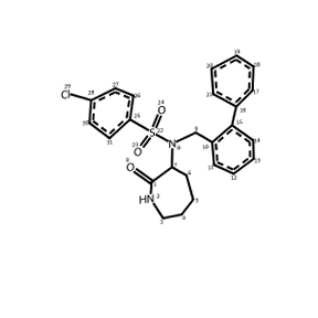 O=C1NCCCCC1N(Cc1ccccc1-c1ccccc1)S(=O)(=O)c1ccc(Cl)cc1